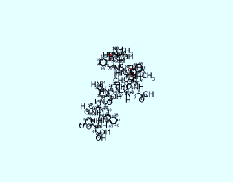 CC(C)C[C@H](NC(=O)[C@H](CCC(=O)O)NC(=O)CNC(O)[C@H](CC(C)C)NC(=O)[C@H](Cc1c[nH]cn1)NC(=O)[C@H](Cc1c[nH]c2ccccc12)NC(=O)[C@H](C)NC(=O)[C@H](CC=O)NC(=O)[C@@H](N)CC(O)O)C(=O)N[C@@H](C(C)C)C(O)N[C@@H](Cc1c[nH]c2ccccc12)C(=O)N[C@@H](Cc1ccccc1CN)C(=O)N[C@H](C(N)O)[C@@H](C)O